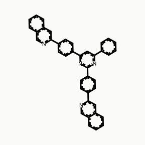 c1ccc(-c2cc(-c3ccc(-c4cc5ccccc5cn4)cc3)nc(-c3ccc(-c4cc5ccccc5cn4)cc3)n2)cc1